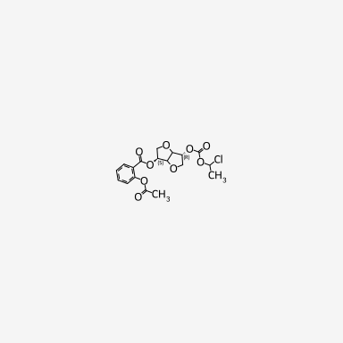 CC(=O)Oc1ccccc1C(=O)O[C@H]1COC2C1OC[C@H]2OC(=O)OC(C)Cl